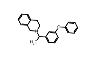 CC(c1cccc(Oc2ccccc2)c1)N1CCc2ccccc2C1